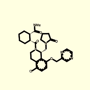 CNC(=O)[C@H]1CCCC[C@H]1C(=O)N1CCc2c(Cl)ccc(OCc3cnccn3)c2[C@H]1CN1CCCC1=O